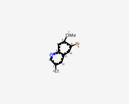 CCc1cnc2cc(OC)c(Br)cc2c1